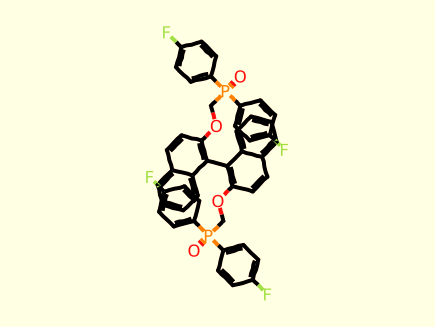 O=P(COc1ccc2ccccc2c1-c1c(OCP(=O)(c2ccc(F)cc2)c2ccc(F)cc2)ccc2ccccc12)(c1ccc(F)cc1)c1ccc(F)cc1